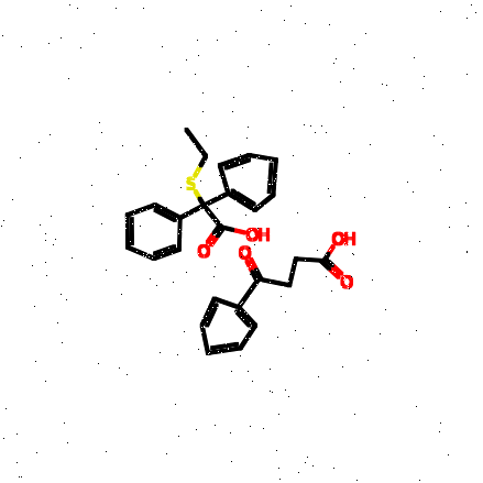 CCSC(C(=O)O)(c1ccccc1)c1ccccc1.O=C(O)CCC(=O)c1ccccc1